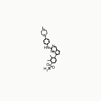 Cc1c(-c2ccc3cnc(Nc4ccc(N5CCN(C)CC5)cc4)nn23)ccc(S(N)(=O)=O)c1C